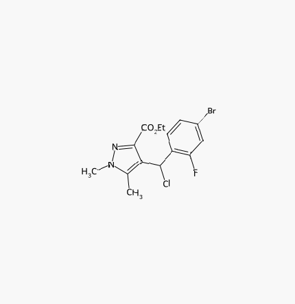 CCOC(=O)c1nn(C)c(C)c1C(Cl)c1ccc(Br)cc1F